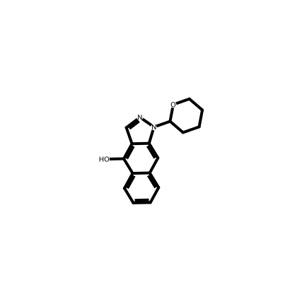 Oc1c2ccccc2cc2c1cnn2C1CCCCO1